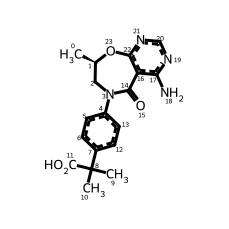 C[C@@H]1CN(c2ccc(C(C)(C)C(=O)O)cc2)C(=O)c2c(N)ncnc2O1